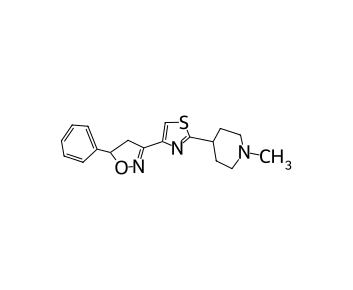 CN1CCC(c2nc(C3=NOC(c4ccccc4)C3)cs2)CC1